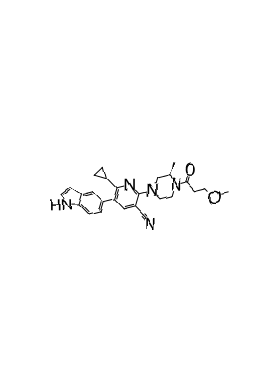 COCCC(=O)N1CCN(c2nc(C3CC3)c(-c3ccc4[nH]ccc4c3)cc2C#N)C[C@H]1C